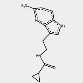 Nc1ccc2[nH]cc(CCNC(=O)C3CC3)c2n1